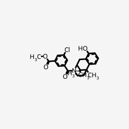 COC(=O)c1cc(Cl)cc(C(=O)N2CCC3(C)c4cccc(O)c4CC2C3(C)C)c1